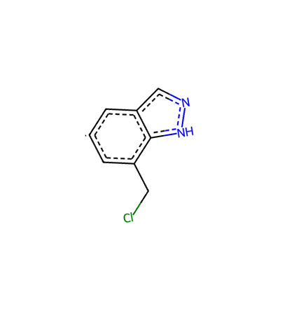 ClCc1c[c]cc2cn[nH]c12